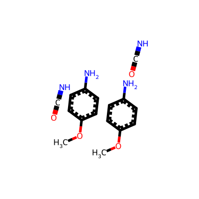 COc1ccc(N)cc1.COc1ccc(N)cc1.N=C=O.N=C=O